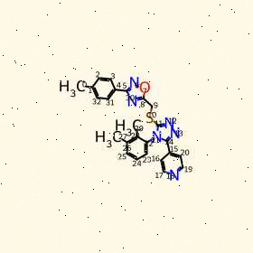 Cc1ccc(-c2noc(CSc3nnc(-c4ccncc4)n3-c3cccc(C)c3C)n2)cc1